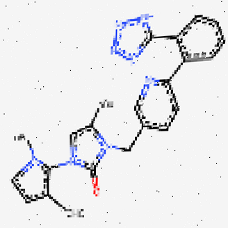 CCCCc1cn(-c2c(C=O)ccn2CCC)c(=O)n1Cc1ccc(-c2ccccc2-c2nnn[nH]2)nc1